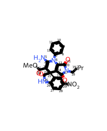 COC(=O)C1=C(N)N(c2ccccc2)C2=C(C(=O)N(CC(C)C)C2=O)[C@]12C(=O)Nc1ccc([N+](=O)[O-])cc12